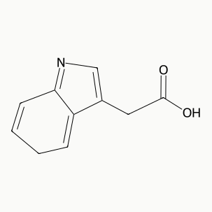 O=C(O)CC1=CN=C2C=CCC=C12